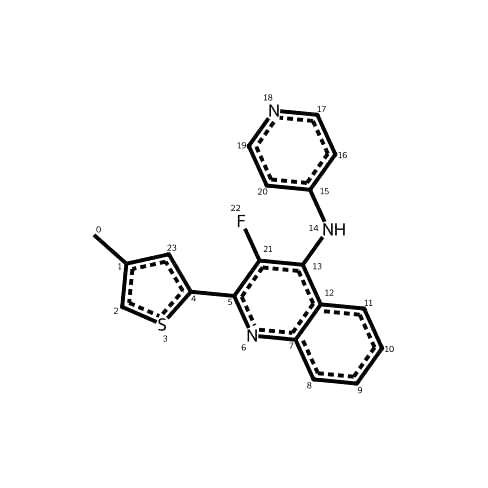 Cc1csc(-c2nc3ccccc3c(Nc3ccncc3)c2F)c1